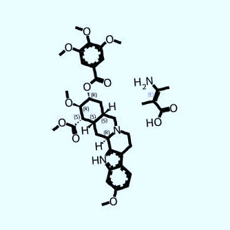 C/C(N)=C(/C)C(=O)O.COC(=O)[C@H]1[C@H]2C[C@@H]3c4[nH]c5cc(OC)ccc5c4CCN3C[C@H]2C[C@@H](OC(=O)c2cc(OC)c(OC)c(OC)c2)[C@@H]1OC